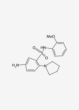 COc1ccccc1NS(=O)(=O)c1cc(N)ccc1N1CCCC1